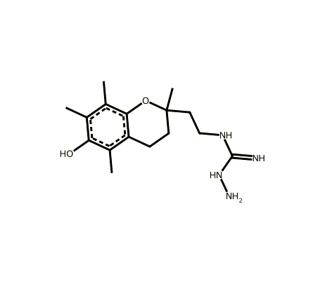 Cc1c(C)c2c(c(C)c1O)CCC(C)(CCNC(=N)NN)O2